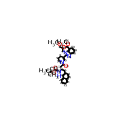 COCCCn1c(C2CCCN(C(=O)C[C@@H](Cc3ccc4ccccc4c3)NC(=O)OC(C)(C)C)C2)nc2cccc(C(=O)OC)c21